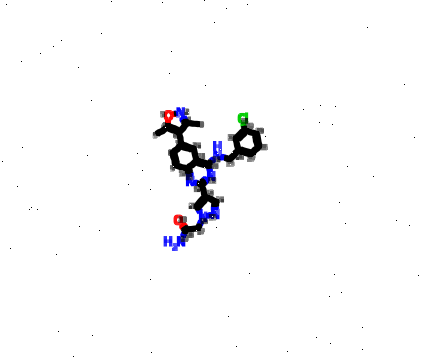 Cc1noc(C)c1-c1ccc2nc(-c3cnn(CC(N)=O)c3)nc(NCc3cccc(Cl)c3)c2c1